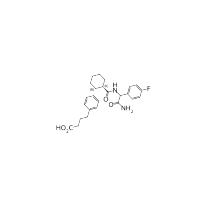 NC(=O)C(NC(=O)[C@@H]1CCCC[C@H]1c1ccc(CCCC(=O)O)cc1)c1ccc(F)cc1